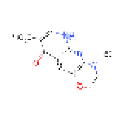 CCN1CCOc2cc3c(=O)c(C(=O)O)c[nH]c3nc21